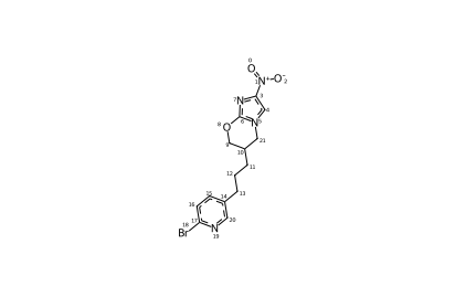 O=[N+]([O-])c1cn2c(n1)OCC(CCCc1ccc(Br)nc1)C2